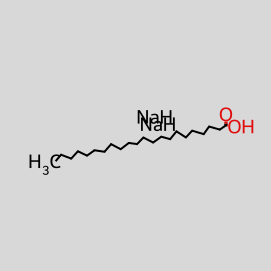 CCCCCCCCCCCCCCCCCCCCCC(=O)O.[NaH].[NaH]